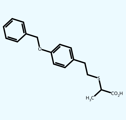 CC(SCCc1ccc(OCc2ccccc2)cc1)C(=O)O